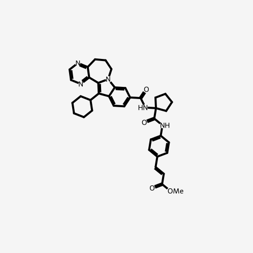 COC(=O)/C=C/c1ccc(NC(=O)C2(NC(=O)c3ccc4c(C5CCCCC5)c5n(c4c3)CCCc3nccnc3-5)CCCC2)cc1